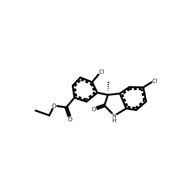 CCOC(=O)c1ccc(Cl)c([C@]2(C)C(=O)Nc3ccc(Cl)cc32)c1